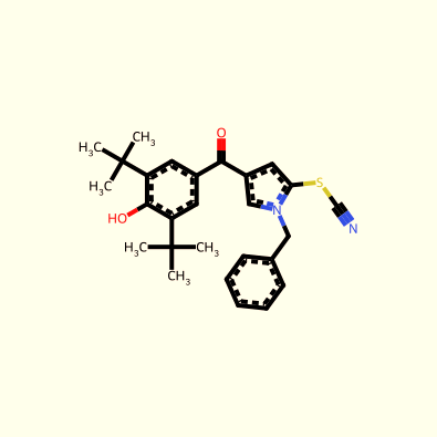 CC(C)(C)c1cc(C(=O)c2cc(SC#N)n(Cc3ccccc3)c2)cc(C(C)(C)C)c1O